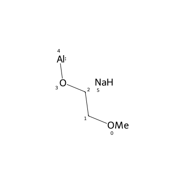 COCC[O][Al].[NaH]